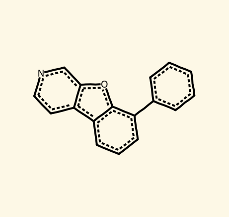 c1ccc(-c2cccc3c2oc2cnccc23)cc1